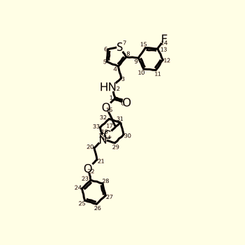 O=C(NCc1ccsc1-c1cccc(F)c1)OC1C[N+]2(CCOc3ccccc3)CCC1CC2